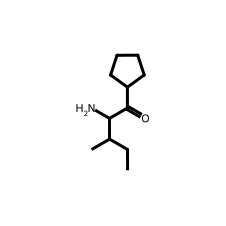 CCC(C)C(N)C(=O)C1CCCC1